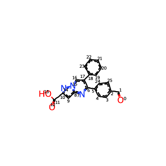 O=Cc1ccc(-c2nc3cc(C(=O)O)nn3cc2-c2ccccc2)cc1